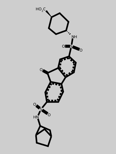 O=C1c2cc(S(=O)(=O)NC3CC4CCC3C4)ccc2-c2ccc(S(=O)(=O)N[C@H]3CC[C@H](C(=O)O)CC3)cc21